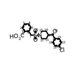 O=C(O)c1ccccc1CS(=O)(=O)N1CCC(C(=O)c2ccc(Cl)cc2)CC1